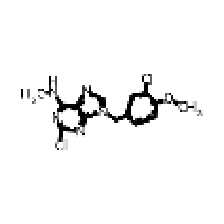 CNc1nc(Cl)nc2c1ncn2Cc1ccc(OC)c(Cl)c1